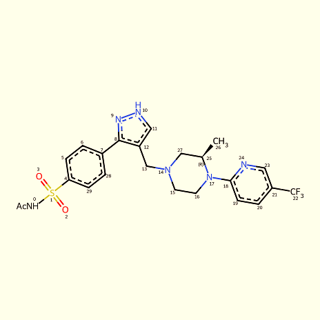 CC(=O)NS(=O)(=O)c1ccc(-c2n[nH]cc2CN2CCN(c3ccc(C(F)(F)F)cn3)[C@H](C)C2)cc1